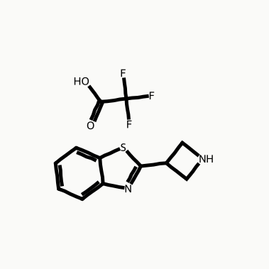 O=C(O)C(F)(F)F.c1ccc2sc(C3CNC3)nc2c1